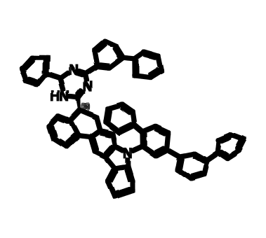 c1ccc(-c2cccc(C3=NC(c4ccccc4)NC([C@H]4Cc5cc6c(cc5-c5ccccc54)c4ccccc4n6-c4cc(-c5cccc(-c6ccccc6)c5)ccc4-c4ccccc4)=N3)c2)cc1